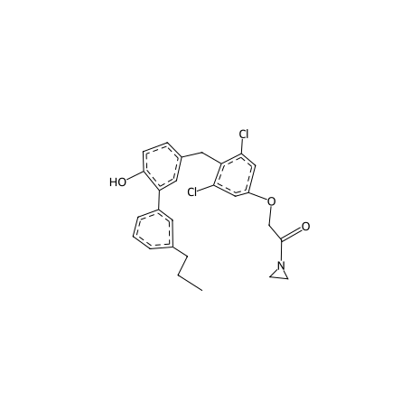 CCCc1cccc(-c2cc(Cc3c(Cl)cc(OCC(=O)N4CC4)cc3Cl)ccc2O)c1